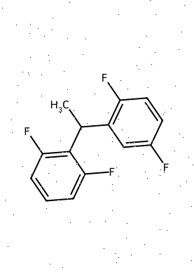 C[C](c1cc(F)ccc1F)c1c(F)cccc1F